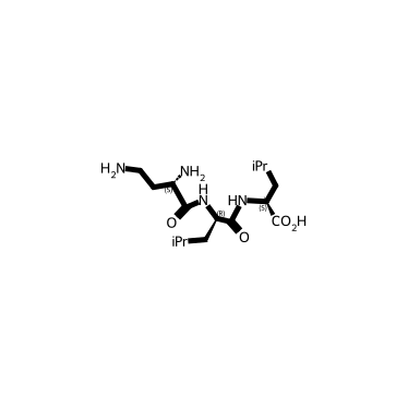 CC(C)C[C@H](NC(=O)[C@@H](CC(C)C)NC(=O)[C@@H](N)CCN)C(=O)O